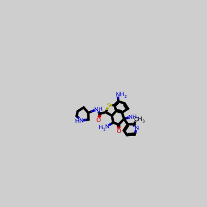 Cc1ncccc1C1(N)C(=O)C(N)C2c3c1ccc(N)c3SC2C(=O)NC1CCCNC1